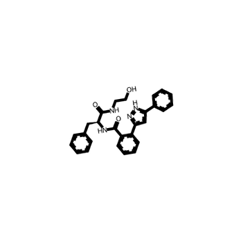 O=C(N[C@@H](Cc1ccccc1)C(=O)NCCO)c1ccccc1-c1cc(-c2ccccc2)[nH]n1